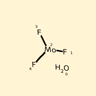 O.[F][Mo]([F])[F]